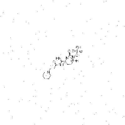 N=C(NC(=O)CCN1CCCCC1)[C@@H]1CC[C@@H]2CN1C(=O)N2OS(=O)(=O)O